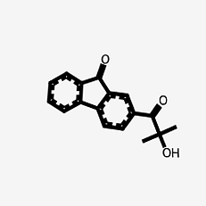 CC(C)(O)C(=O)c1ccc2c(c1)C(=O)c1ccccc1-2